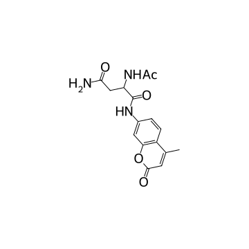 CC(=O)NC(CC(N)=O)C(=O)Nc1ccc2c(C)cc(=O)oc2c1